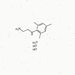 Cc1cc(C)c(NCCN)c(C)c1.Cl.Cl.O